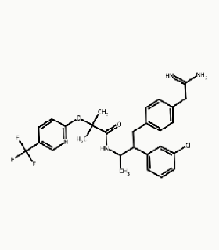 CC(NC(=O)C(C)(C)Oc1ccc(C(F)(F)F)cn1)C(Cc1ccc(CC(=N)N)cc1)c1cccc(Cl)c1